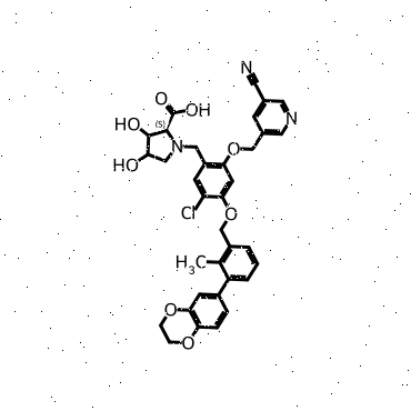 Cc1c(COc2cc(OCc3cncc(C#N)c3)c(CN3CC(O)C(O)[C@H]3C(=O)O)cc2Cl)cccc1-c1ccc2c(c1)OCCO2